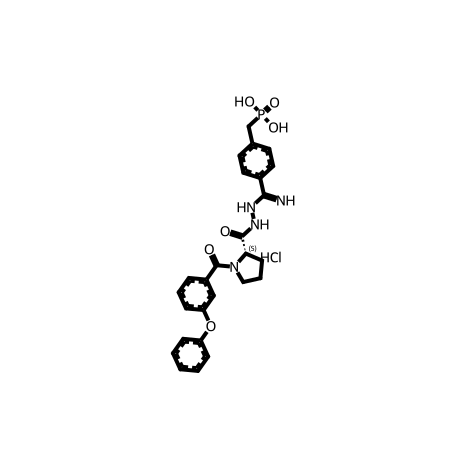 Cl.N=C(NNC(=O)[C@@H]1CCCN1C(=O)c1cccc(Oc2ccccc2)c1)c1ccc(CP(=O)(O)O)cc1